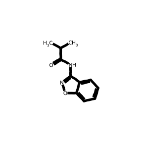 CC(C)C(=O)Nc1noc2ccccc12